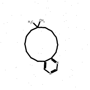 CC1(C)CCCCCCc2cncnc2CCCCC1